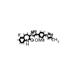 COc1cc(-c2cn(C3CCc4c(F)cccc4NC3=O)nn2)ccc1-n1cnc(C)c1